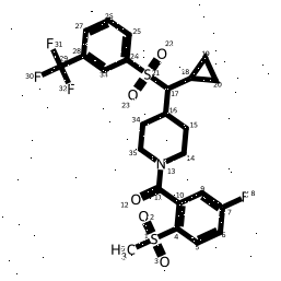 CS(=O)(=O)c1ccc(F)cc1C(=O)N1CCC(C(C2CC2)S(=O)(=O)c2cccc(C(F)(F)F)c2)CC1